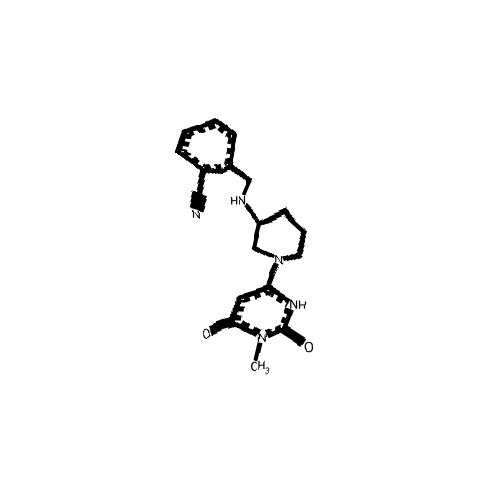 Cn1c(=O)cc(N2CCCC(NCc3ccccc3C#N)C2)[nH]c1=O